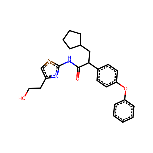 O=C(Nc1nc(CCO)cs1)C(CC1CCCC1)c1ccc(Oc2ccccc2)cc1